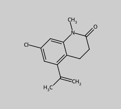 C=C(C)c1cc(Cl)cc2c1CCC(=O)N2C